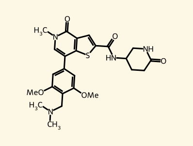 COc1cc(-c2cn(C)c(=O)c3cc(C(=O)NC4CCC(=O)NC4)sc23)cc(OC)c1CN(C)C